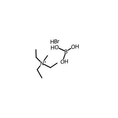 Br.CC[N+](C)(CC)CC.OB(O)O